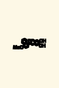 COc1ccc(C2Cc3cc(O)c(O)cc3CN2)c2ccccc12